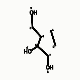 CC.OCCC(O)CO